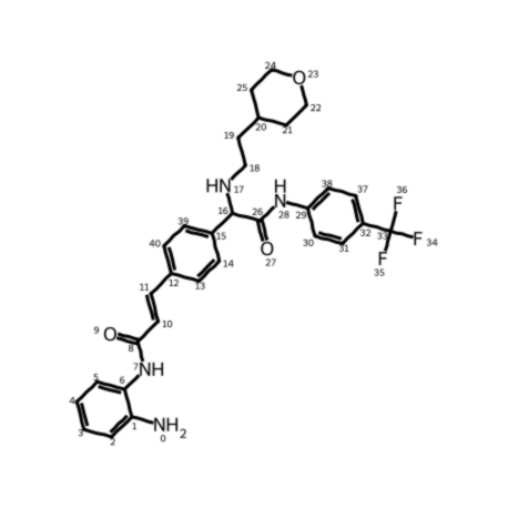 Nc1ccccc1NC(=O)C=Cc1ccc(C(NCCC2CCOCC2)C(=O)Nc2ccc(C(F)(F)F)cc2)cc1